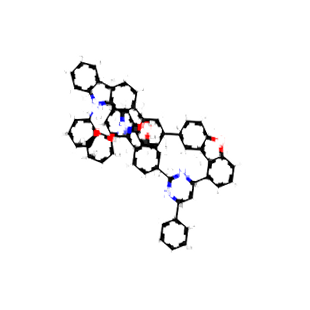 c1ccc(-c2cc(-c3cccc4oc5ccc(-c6ccc7c(c6)c6ccc8c9ccccc9n(-c9ccccc9)c8c6n7-c6ccccc6)cc5c34)nc(-c3ccc4c(c3)oc3ccccc34)n2)cc1